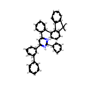 CC1(C)c2ccccc2-c2c(-c3ccccc3-c3cc(-c4cccc(-c5ccccc5)c4)nc(-c4ccccc4)n3)cccc21